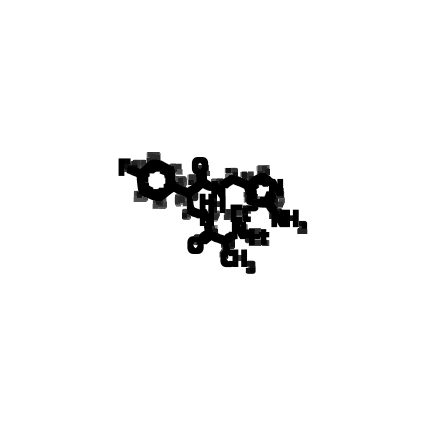 CCN(CC)[C@@H](C)C(=O)NC[C@H](C(=O)NCc1cnc(N)s1)c1ccc(F)cc1